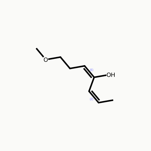 C/C=C\C(O)=C/CCOC